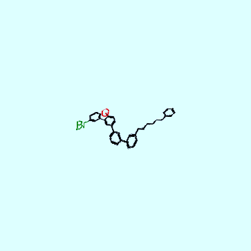 Brc1ccc2oc3ccc(-c4cccc(-c5cccc(CCCCCCc6ccccc6)c5)c4)cc3c2c1